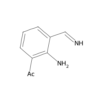 CC(=O)c1cccc(C=N)c1N